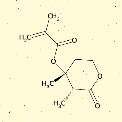 C=C(C)C(=O)O[C@]1(C)CCOC(=O)[C@@H]1C